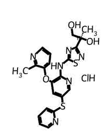 Cc1ncccc1Oc1cc(Sc2ccccn2)cnc1Nc1nc([C@](C)(O)CO)ns1.Cl